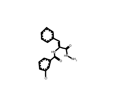 NNC(=O)C(=Cc1ccccc1)NC(=O)c1cccc(Cl)c1